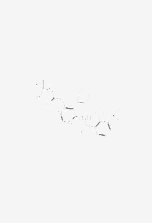 Cc1nc(CC(=O)NC2(CF)CC2)c(C2OCCO2)c(N[C@H](CF)c2cccc(C(F)(F)F)c2C)n1